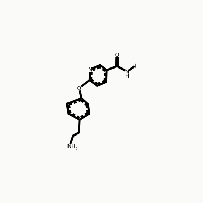 NCCc1ccc(Oc2ccc(C(=O)NI)cn2)cc1